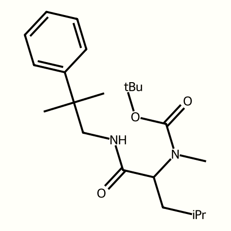 CC(C)CC(C(=O)NCC(C)(C)c1ccccc1)N(C)C(=O)OC(C)(C)C